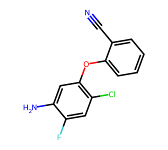 N#Cc1ccccc1Oc1cc(N)c(F)cc1Cl